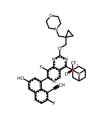 C#Cc1c(F)ccc2cc(O)cc(-c3ncc4c(N5CC6CC(C5)N6C(=O)C(F)(F)F)nc(OCC5(CN6CCOCC6)CC5)nc4c3F)c12